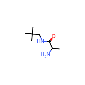 CC(N)C(=O)NCC(C)(C)C